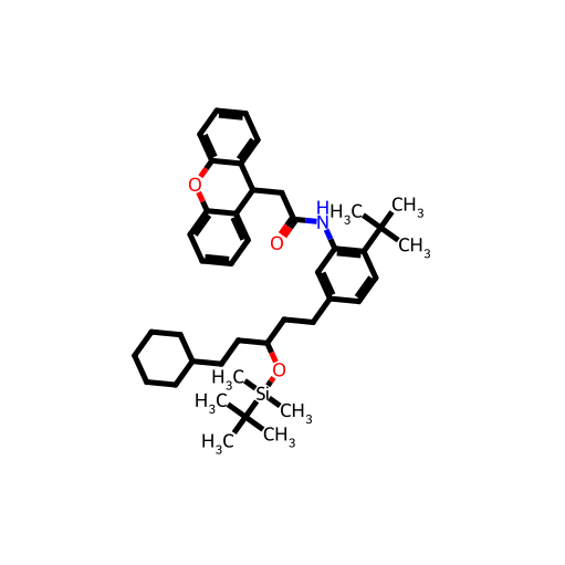 CC(C)(C)c1ccc(CCC(CCC2CCCCC2)O[Si](C)(C)C(C)(C)C)cc1NC(=O)CC1c2ccccc2Oc2ccccc21